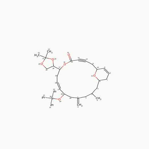 C=C1CC(C)CC2CC=CC(CC#CC(=O)OC(C3COC(C)(C)O3)CC=CC(O[Si](C(C)C)(C(C)C)C(C)C)C1)O2